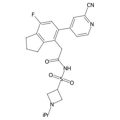 CC(C)N1CC(S(=O)(=O)NC(=O)Cc2c(-c3ccnc(C#N)c3)cc(F)c3c2CCC3)C1